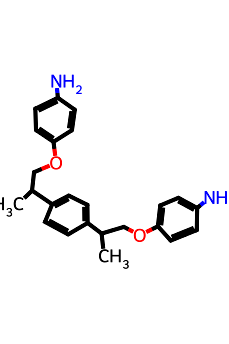 CC(COc1ccc(N)cc1)c1ccc(C(C)COc2ccc(N)cc2)cc1